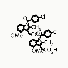 COc1cccc2c1c(CC(=O)O)c(C)n2C(=O)c1ccc(Cl)cc1.COc1cccc2c1c(CC(=O)O)c(C)n2C(=O)c1ccc(Cl)cc1